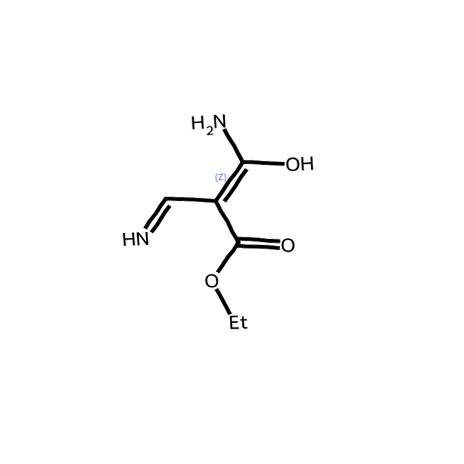 CCOC(=O)/C(C=N)=C(/N)O